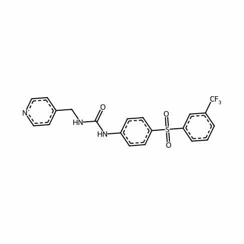 O=C(NCc1ccncc1)Nc1ccc(S(=O)(=O)c2cccc(C(F)(F)F)c2)cc1